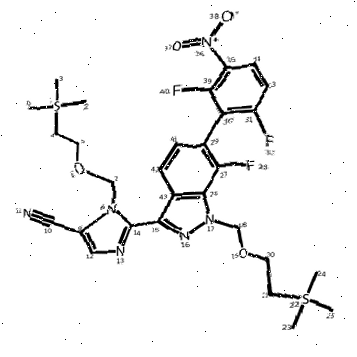 CS(C)(C)CCOCn1c(C#N)cnc1-c1nn(COCCS(C)(C)C)c2c(F)c(-c3c(F)ccc([N+](=O)[O-])c3F)ccc12